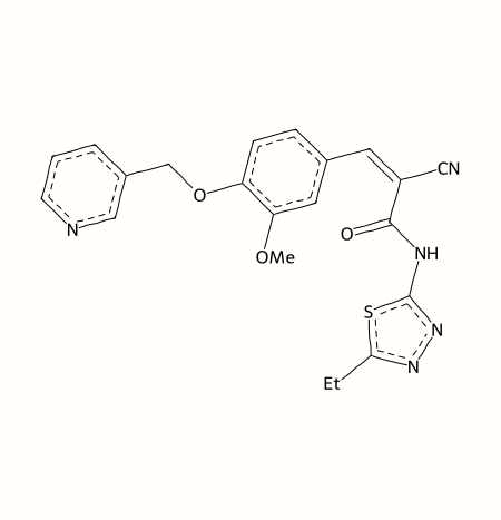 CCc1nnc(NC(=O)C(C#N)=Cc2ccc(OCc3cccnc3)c(OC)c2)s1